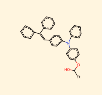 CCC(O)Oc1ccc(N(c2ccccc2)c2ccc(C=C(c3ccccc3)c3ccccc3)cc2)cc1